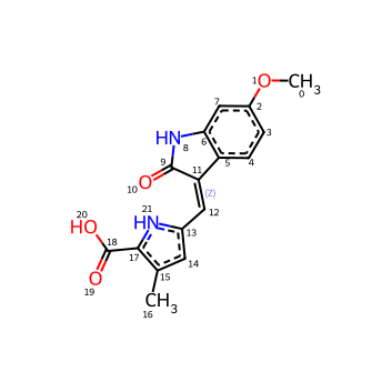 COc1ccc2c(c1)NC(=O)/C2=C\c1cc(C)c(C(=O)O)[nH]1